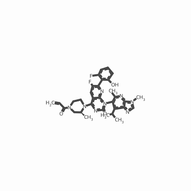 C=CC(=O)N1CCN(c2nc(=O)n(-c3c(C)nc4c(ncn4C)c3C(C)C)c3nc(-c4c(O)cccc4F)c(F)cc23)[C@@H](C)C1